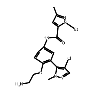 CCn1nc(C)cc1C(=O)Nc1ccc(OCCN)c(-c2c(Cl)cnn2C)c1